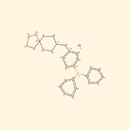 I.c1ccc(P(c2ccccc2)c2ccc(CC3CCC4(CCOO4)CC3)cc2)cc1